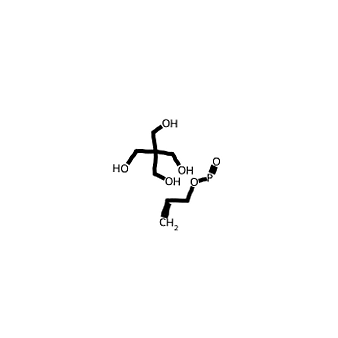 C=CCOP=O.OCC(CO)(CO)CO